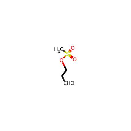 CS(=O)(=O)OCC[C]=O